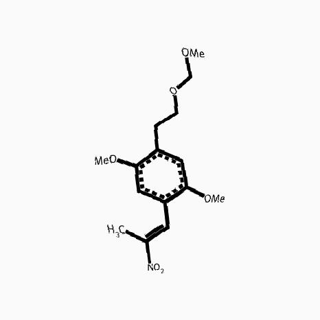 COCOCCc1cc(OC)c(C=C(C)[N+](=O)[O-])cc1OC